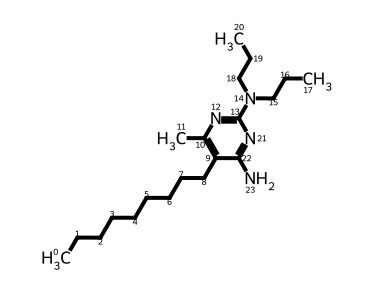 CCCCCCCCCc1c(C)nc(N(CCC)CCC)nc1N